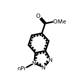 CCCn1nnc2cc(C(=O)OC)ccc21